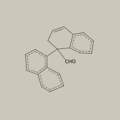 O=CC1(c2cccc3ccccc23)CC=Cc2ccccc21